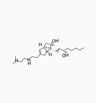 CCCCC[C@H](O)/C=C/[C@@H]1[C@H]2CC(CCNCCN(C)C)=C[C@H]2C[C@H]1O